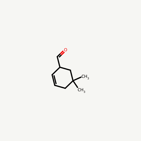 CC1(C)CC=CC(C=O)C1